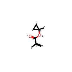 C=C(C)C(=O)OC1(C)CC1